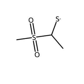 CC([S])S(C)(=O)=O